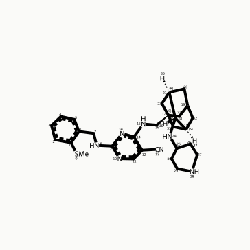 CSc1ccccc1CNc1ncc(C#N)c(NC[C@]23CC4C[C@H](C2)[C@@H](NC2CCNCC2)[C@@H](C4)C3)n1